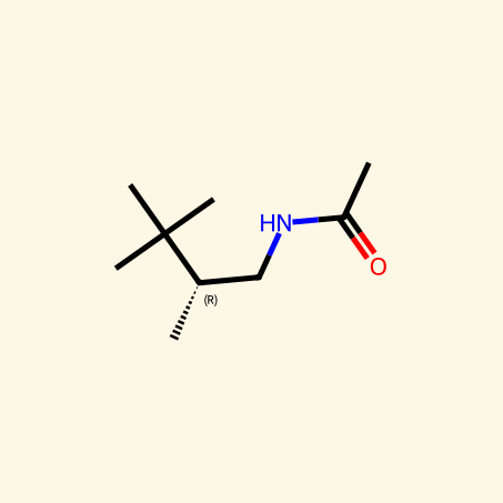 CC(=O)NC[C@H](C)C(C)(C)C